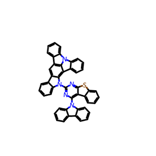 c1ccc2c(c1)sc1nc(-n3c4ccccc4c4cc5c6ccccc6n6c7ccccc7c(c43)c56)nc(-n3c4ccccc4c4ccccc43)c12